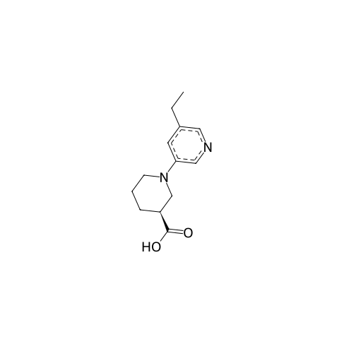 CCc1cncc(N2CCC[C@H](C(=O)O)C2)c1